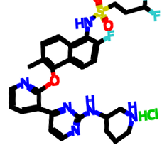 Cc1ccc2c(NS(=O)(=O)CCC(F)F)c(F)ccc2c1Oc1ncccc1-c1ccnc(NC2CCCNC2)n1.Cl